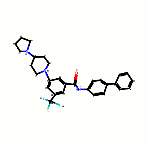 O=C(Nc1ccc(-c2ccccc2)cc1)c1cc(N2CCC(N3CCCC3)CC2)cc(C(F)(F)F)c1